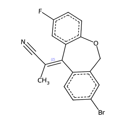 C/C(C#N)=C1\c2ccc(Br)cc2COc2ccc(F)cc21